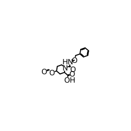 O=COC1CCN(C(=O)NOCc2ccccc2)C(C(=O)O)C1